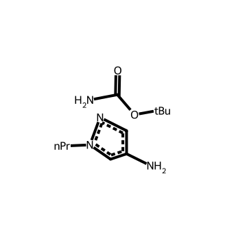 CC(C)(C)OC(N)=O.CCCn1cc(N)cn1